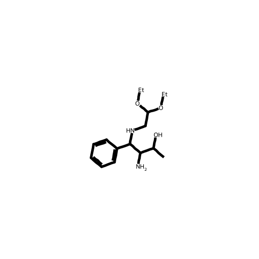 CCOC(CNC(c1ccccc1)C(N)C(C)O)OCC